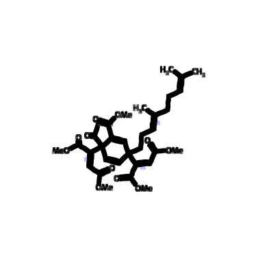 COC(=O)/C=C(/C(=O)OC)C1(CC/C=C(\C)CCC=C(C)C)C=CC(C(=O)OC)(/C(=C\C(=O)OC)C(=O)OC)C(C(=O)OC)=C1